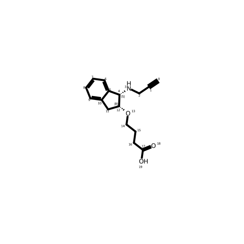 C#CCN[C@H]1c2ccccc2C[C@H]1OCCCC(=O)O